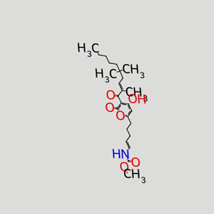 CCCCCC(C)(C)C/C=C(\C)C(=O)c1c(O)cc(CCC/C=C/NC(=O)OC)oc1=O